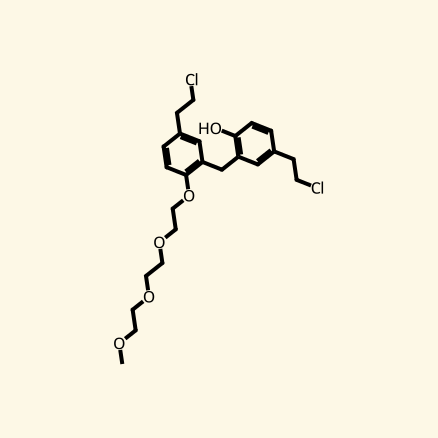 COCCOCCOCCOc1ccc(CCCl)cc1Cc1cc(CCCl)ccc1O